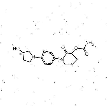 NC(=O)OC1CCCN(c2ccc(N3CC[C@@H](O)C3)cc2)C1=O